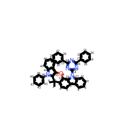 CC1(C)c2ccc3c4ccccc4n(-c4nc(-c5ccccc5)nc(-c5ccccc5)n4)c3c2Oc2c1n(-c1ccccc1)c1ccccc21